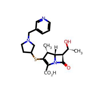 C[C@@H](O)[C@H]1C(=O)N2C(C(=O)O)=C(SC3CCN(Cc4cccnc4)C3)[C@H](C)[C@H]12